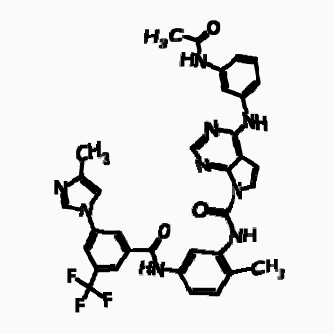 CC(=O)Nc1cccc(Nc2ncnc3c2ccn3C(=O)Nc2cc(NC(=O)c3cc(-n4cnc(C)c4)cc(C(F)(F)F)c3)ccc2C)c1